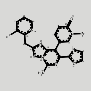 CC(C)n1cc(-c2c(-c3ncco3)nc(N)n3nc(Cc4ncccc4F)nc23)ccc1=O